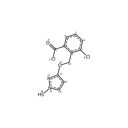 O=C(Cl)c1cccc(Cl)c1COc1ccn(S)n1